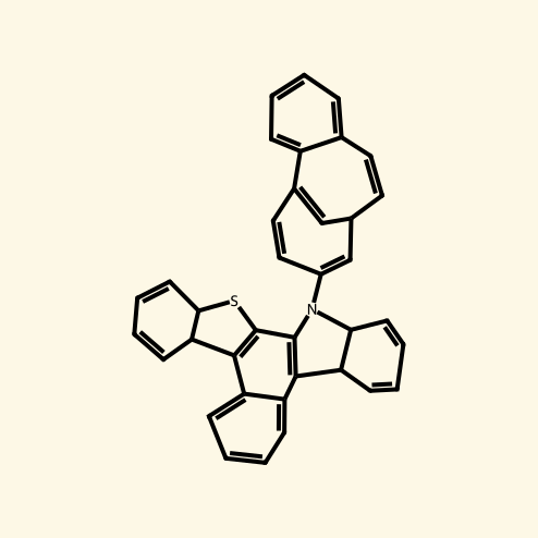 C1=CC2Sc3c4c(c5ccccc5c3C2C=C1)C1C=CC=CC1N4C1=CC2C=Cc3ccccc3C(=C2)C=C1